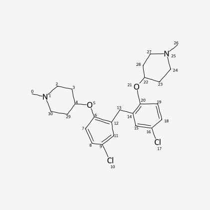 CN1CCC(Oc2ccc(Cl)cc2Cc2cc(Cl)ccc2OC2CCN(C)CC2)CC1